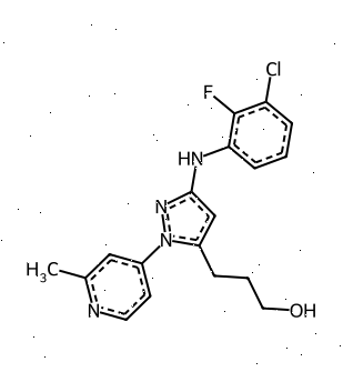 Cc1cc(-n2nc(Nc3cccc(Cl)c3F)cc2CCCO)ccn1